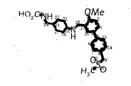 COc1ccc(-c2ccc(CS(C)(=O)=O)cc2)cc1CNC1CCC(CNC(=O)O)CC1